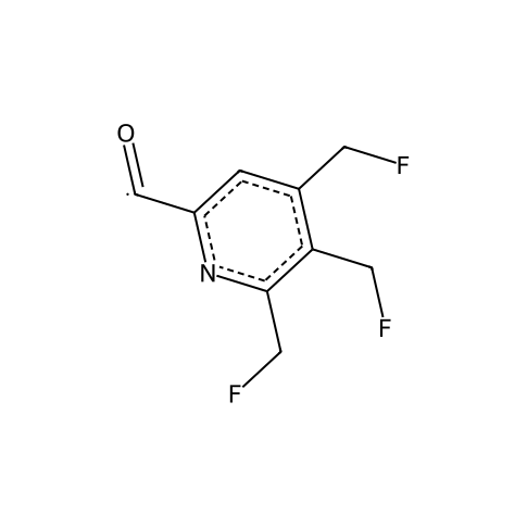 O=[C]c1cc(CF)c(CF)c(CF)n1